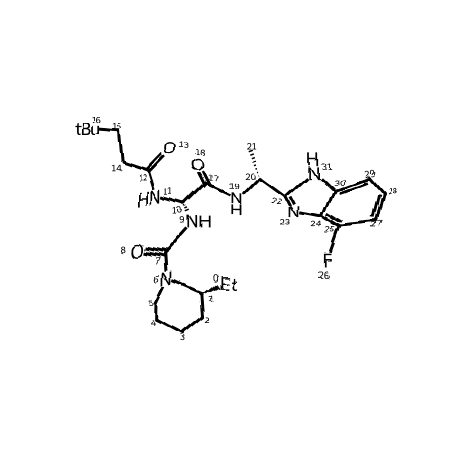 CC[C@H]1CCCCN1C(=O)N[C@H](NC(=O)CCC(C)(C)C)C(=O)N[C@H](C)c1nc2c(F)cccc2[nH]1